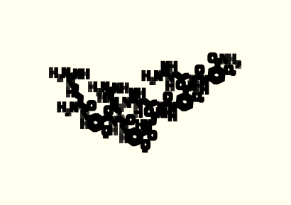 COc1ccc(NC(=O)[C@@H](CCCNC(=N)N)NC(=O)c2cc(NC(=O)[C@@H](CCCNC(=N)N)NC(=O)CNC(=O)c3cc(NC(=O)[C@@H](CCCNC(=N)N)NC(=O)c4cc(NC(=O)[C@H](N)CCCNC(=N)N)ccc4OC)ccc3OC)ccc2OC)cc1C(N)=O